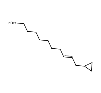 CCCCCCCCCCCCCCCC=CCC1CC1